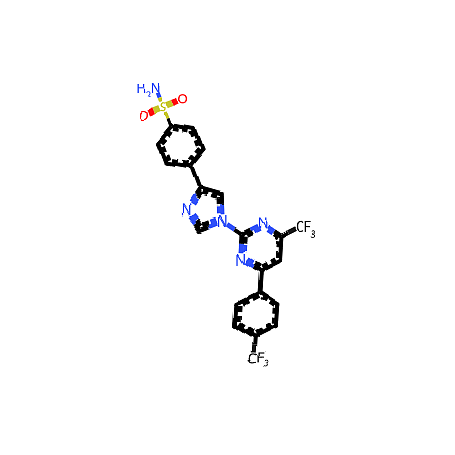 NS(=O)(=O)c1ccc(-c2cn(-c3nc(-c4ccc(C(F)(F)F)cc4)cc(C(F)(F)F)n3)cn2)cc1